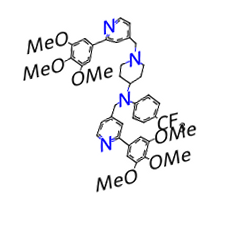 COc1cc(-c2cc(CN3CCC(N(Cc4ccnc(-c5cc(OC)c(OC)c(OC)c5)c4)c4ccc(C(F)(F)F)cc4)CC3)ccn2)cc(OC)c1OC